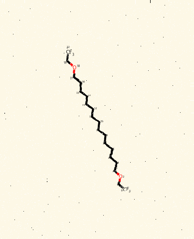 FC(F)(F)COCCCCCCCCCCCCCCCOCC(F)(F)F